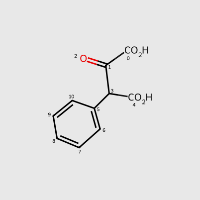 O=C(O)C(=O)C(C(=O)O)c1ccccc1